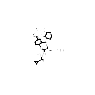 CCOC(=O)C[C@@H]1O[C@@H](c2cccc(OC)c2OC)c2cc(Cl)ccc2NC1=NNC(=O)C1CC1